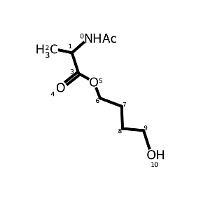 CC(=O)NC(C)C(=O)OCCCCO